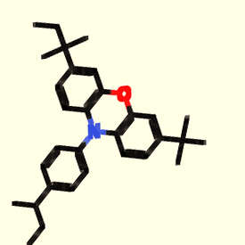 CCC(C)c1ccc(N2c3ccc(C(C)(C)C)cc3Oc3cc(C(C)(C)CC)ccc32)cc1